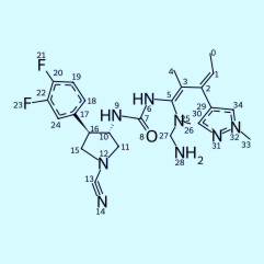 C/C=C(\C(C)=C(\NC(=O)N[C@@H]1CN(C#N)C[C@H]1c1ccc(F)c(F)c1)N(C)CN)c1cnn(C)c1